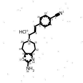 Cl.N#Cc1ccc(C=CCN2CCc3nc(N)sc3CC2)cc1